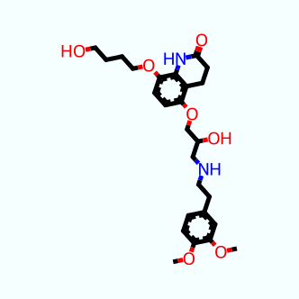 COc1ccc(CCNCC(O)COc2ccc(OCCCCO)c3c2CCC(=O)N3)cc1OC